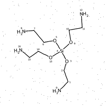 NCCO[Si](OCCN)(OCCN)OCCN